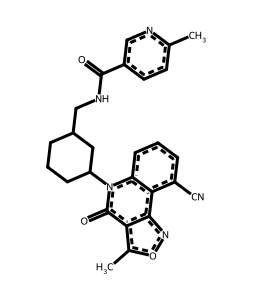 Cc1ccc(C(=O)NCC2CCCC(n3c(=O)c4c(C)onc4c4c(C#N)cccc43)C2)cn1